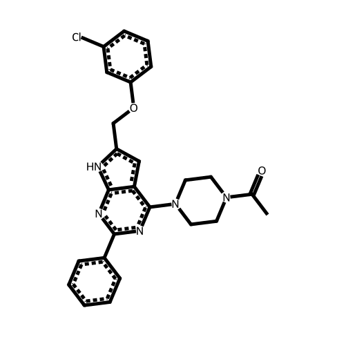 CC(=O)N1CCN(c2nc(-c3ccccc3)nc3[nH]c(COc4cccc(Cl)c4)cc23)CC1